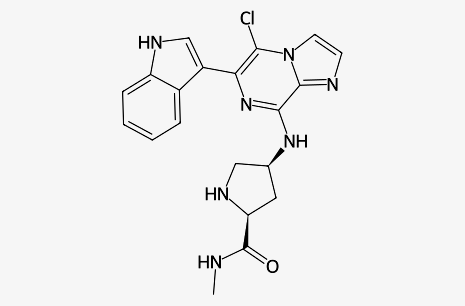 CNC(=O)[C@@H]1C[C@H](Nc2nc(-c3c[nH]c4ccccc34)c(Cl)n3ccnc23)CN1